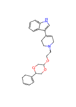 C1=CCCC(C2COC(OCCN3CC=C(c4c[nH]c5ccccc45)CC3)CO2)=C1